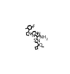 CCOC(=C1CCC1)c1csc(-c2c(N)nn3ccc(N4CCCC4c4cc(F)ccc4C)nc23)n1